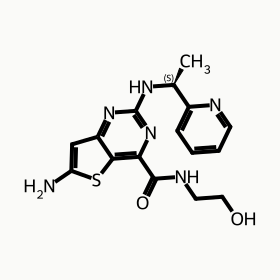 C[C@H](Nc1nc(C(=O)NCCO)c2sc(N)cc2n1)c1ccccn1